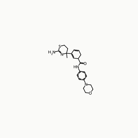 CC1(C2=CC(C(=O)Nc3ccc(N4CCOCC4)cc3)CC=C2)CCSC(N)=N1